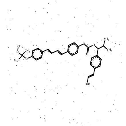 COC(C)(C)Oc1ccc(C=CC=Cc2ccc(OC(=O)OC(c3ccc(C=CO)cc3)C(C)C)cc2)cc1